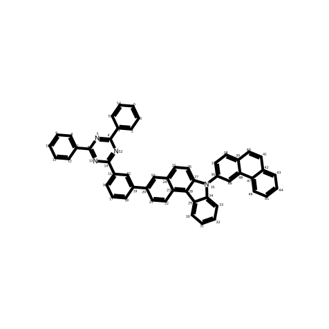 c1ccc(-c2nc(-c3ccccc3)nc(-c3cccc(-c4ccc5c(ccc6c5c5ccccc5n6-c5ccc6ccc7ccccc7c6c5)c4)c3)n2)cc1